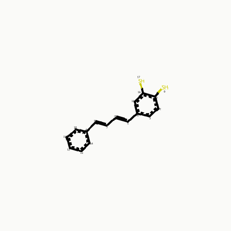 Sc1ccc(/C=C/C=C/c2ccccc2)cc1S